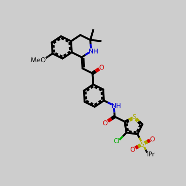 COc1ccc2c(c1)/C(=C/C(=O)c1cccc(NC(=O)c3scc(S(=O)(=O)C(C)C)c3Cl)c1)NC(C)(C)C2